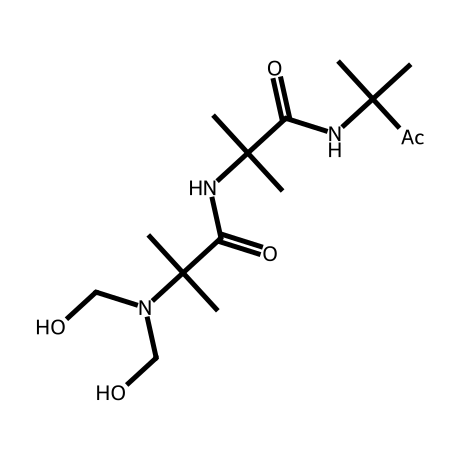 CC(=O)C(C)(C)NC(=O)C(C)(C)NC(=O)C(C)(C)N(CO)CO